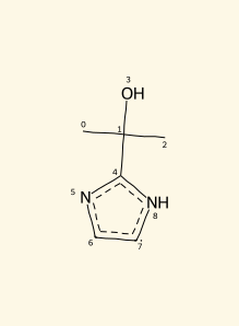 CC(C)(O)c1nc[c][nH]1